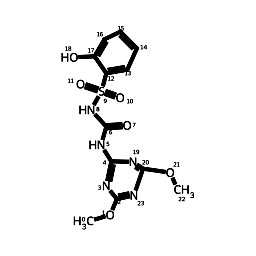 COc1nc(NC(=O)NS(=O)(=O)c2ccccc2O)nc(OC)n1